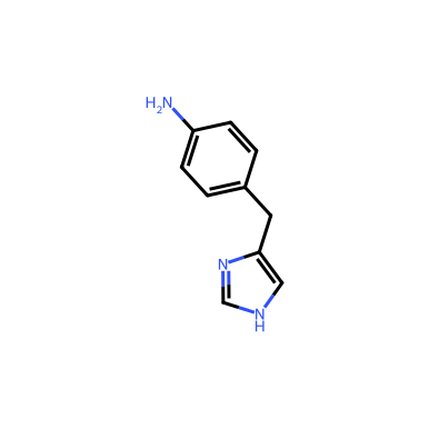 Nc1ccc(Cc2c[nH]cn2)cc1